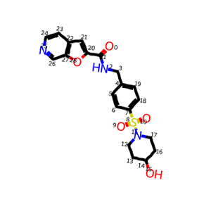 O=C(NCc1ccc(S(=O)(=O)N2CCC(O)CC2)cc1)c1cc2ccncc2o1